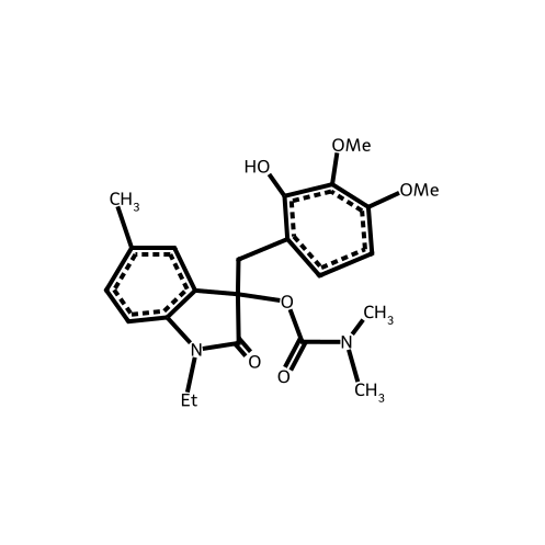 CCN1C(=O)C(Cc2ccc(OC)c(OC)c2O)(OC(=O)N(C)C)c2cc(C)ccc21